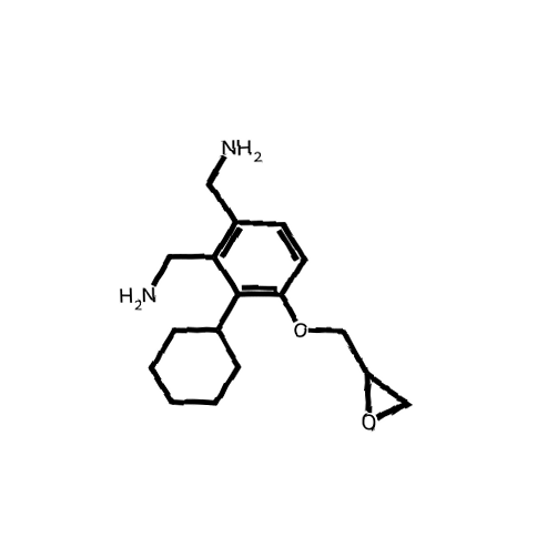 NCc1ccc(OCC2CO2)c(C2CCCCC2)c1CN